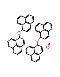 C1=CC(OC2C=Cc3cccc4cccc2c34)c2cccc3cccc1c23.C1=CC(OC2C=Cc3cccc4cccc2c34)c2cccc3cccc1c23.C=O